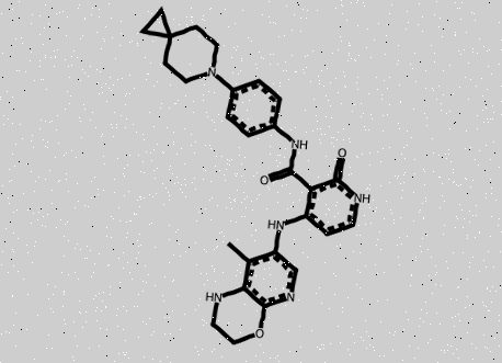 Cc1c(Nc2cc[nH]c(=O)c2C(=O)Nc2ccc(N3CCC4(CC3)CC4)cc2)cnc2c1NCCO2